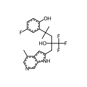 Cc1cncc2[nH]c(CC(O)(CC(C)(C)c3cc(F)ccc3O)C(F)(F)F)cc12